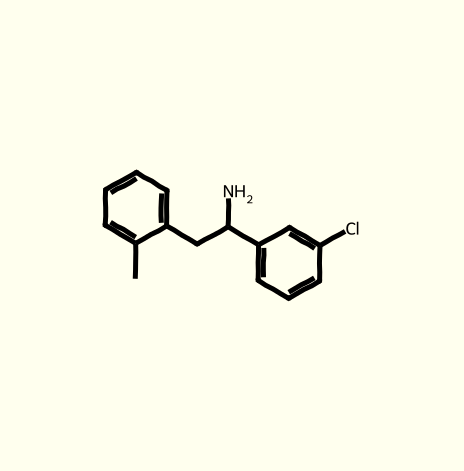 Cc1ccccc1CC(N)c1cccc(Cl)c1